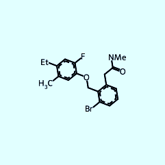 CCc1cc(F)c(OCc2c(Br)cccc2CC(=O)NC)cc1C